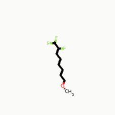 COCCCCCCC(F)C(F)F